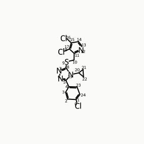 Clc1ccc(-c2nnc(SCc3nccc(Cl)c3Cl)n2C2CC2)cc1